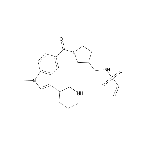 C=CS(=O)(=O)NCC1CCN(C(=O)c2ccc3c(c2)c(C2CCCNC2)cn3C)C1